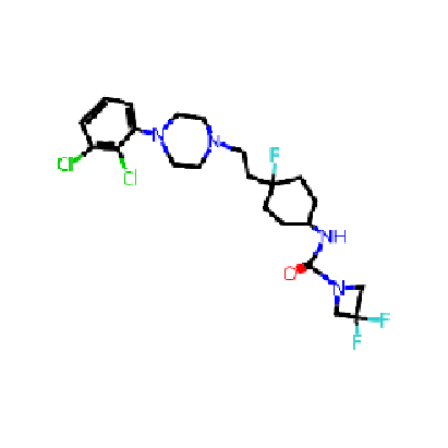 O=C(NC1CCC(F)(CCN2CCN(c3cccc(Cl)c3Cl)CC2)CC1)N1CC(F)(F)C1